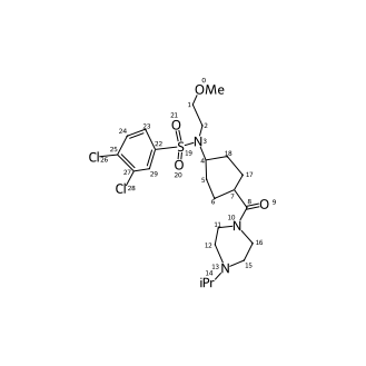 COCCN(C1CCC(C(=O)N2CCN(C(C)C)CC2)CC1)S(=O)(=O)c1ccc(Cl)c(Cl)c1